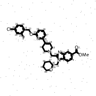 COC(=O)c1ccc2c(c1)nc(CN1CC=C(c3cccc(OCc4ccc(Cl)cc4F)n3)CC1)n2C[C@@H]1CCCCO1